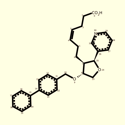 O=C(O)CC/C=C\CC[C@@H]1[C@@H](OCc2ccc(-c3ccccc3)cc2)CO[C@@H]1c1cccnc1